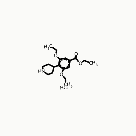 CCOC(=O)c1cc(OCC)c(C2CCNCC2)c(OCC)c1.Cl